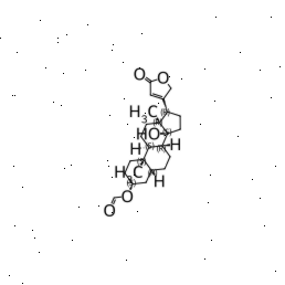 C[C@]12CC[C@H](OC=O)C[C@H]1CC[C@@H]1[C@@H]2CC[C@]2(C)[C@@H](C3=CC(=O)OC3)CC[C@]12O